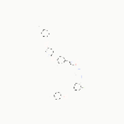 Cc1cc(/C=C/C(=O)N2CCN(Cc3ccc(CCOc4ccc(C(F)(F)F)cc4)cc3F)CC2)cc(C)c1Oc1ccc(OCc2ccc(C#N)cc2)cn1